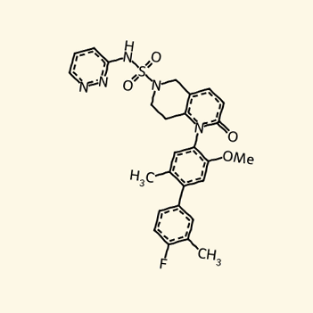 COc1cc(-c2ccc(F)c(C)c2)c(C)cc1-n1c2c(ccc1=O)CN(S(=O)(=O)Nc1cccnn1)CC2